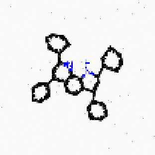 C1=C(c2ccccc2)c2ccc3c(-c4ccccc4)cc(-c4ccccc4)nc3c2NC1c1ccccc1